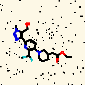 CCOC(=O)C[C@H]1CCCN(c2ccc(-c3nnn(C)c3CO)nc2C(F)F)C1